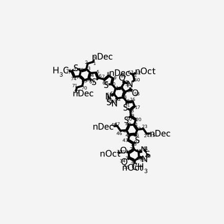 CCCCCCCCCCCCc1c2cc(-c3ccc(-c4c5c(c(-c6ccc(-c7cc8c(CCCCCCCCCCCC)c9sc(-c%10c(OCCCCCCCC)c(OCCCCCCCC)c(C)c%11nsnc%10%11)cc9c(CCCCCCCCCCCC)c8s7)s6)c6nsnc46)C(=O)N(CC(CCCCCCCC)CCCCCCCCCC)C5=O)s3)sc2c(CCCCCCCCCCCC)c2cc(C)sc12